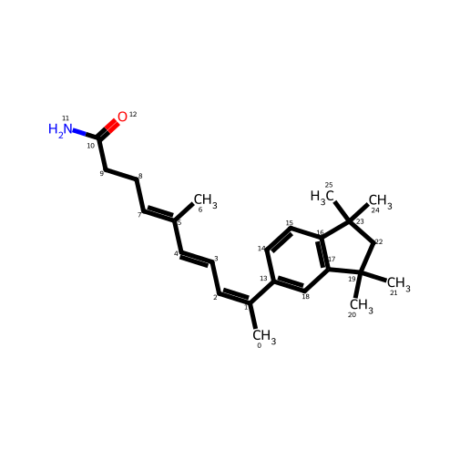 C/C(=C/C=C/C(C)=C/CCC(N)=O)c1ccc2c(c1)C(C)(C)CC2(C)C